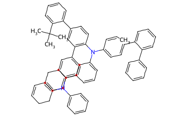 C/C=C\C(=C/C=Cc1ccccc1-c1ccccc1)N(c1cccc(C2=CC=CCC2)c1)c1ccc(-c2ccccc2C(C)(C)C)cc1-c1ccc(N(C2=CC=CCC2)c2ccccc2)cc1